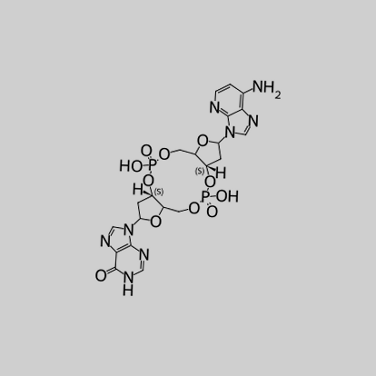 Nc1ccnc2c1ncn2C1C[C@@H]2OP(=O)(O)OCC3OC(n4cnc5c(=O)[nH]cnc54)C[C@@H]3OP(=O)(O)OCC2O1